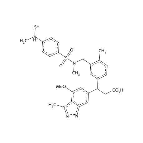 COc1cc(C(CC(=O)O)c2ccc(C)c(CN(C)S(=O)(=O)c3ccc([SH](C)S)cc3)c2)cc2nnn(C)c12